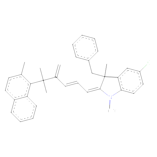 C=C(/C=C/C=C1/N(CCC)c2ccc(Cl)cc2C1(C)Cc1ccccc1)C(C)(C)c1c(C)ccc2ccccc12